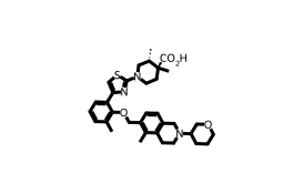 Cc1cccc(-c2csc(N3CC[C@](C)(C(=O)O)[C@@H](C)C3)n2)c1OCc1ccc2c(c1C)CCN(C1CCCOC1)C2